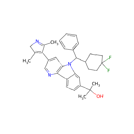 CC1=NCC(C)=C1c1cnc2c3ccc(C(C)(C)O)cc3n(C(c3ccccc3)C3CCC(F)(F)CC3)c2c1